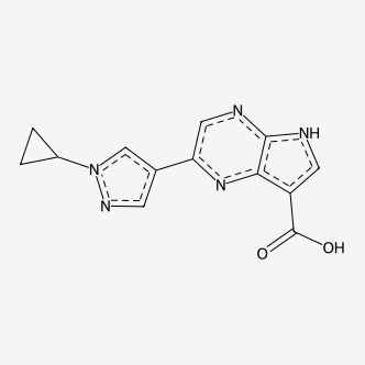 O=C(O)c1c[nH]c2ncc(-c3cnn(C4CC4)c3)nc12